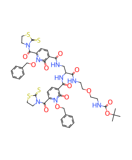 CC(C)(C)OC(=O)NCCOCCNC(=O)C(CNC(=O)c1ccc(C(=O)N2CCSC2=S)n(OCc2ccccc2)c1=O)NC(=O)c1ccc(C(=O)N2CCSC2=S)n(OCc2ccccc2)c1=O